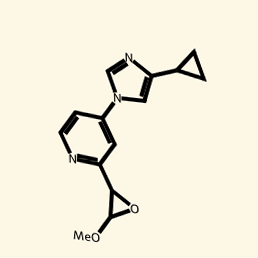 COC1OC1c1cc(-n2cnc(C3CC3)c2)ccn1